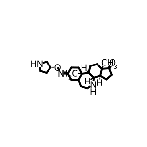 C[C@]12CC/C(=N\O[C@@H]3CCNC3)CC1CCN[C@@H]1[C@@H]2CC[C@]2(C)C(=O)CC[C@@H]12